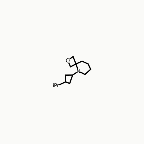 CC(C)C1CC(N2CCCCC23COC3)C1